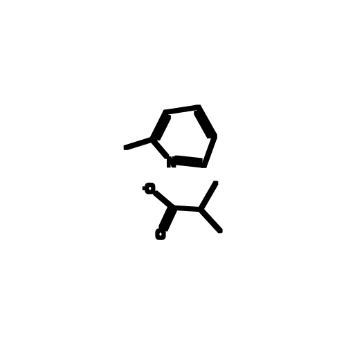 CC(C)C([O])=O.Cc1ccccn1